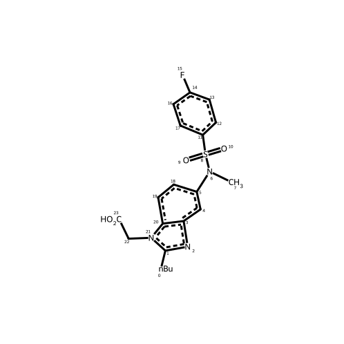 CCCCc1nc2cc(N(C)S(=O)(=O)c3ccc(F)cc3)ccc2n1CC(=O)O